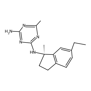 CCc1ccc2c(c1)[C@](C)(Nc1nc(C)nc(N)n1)CC2